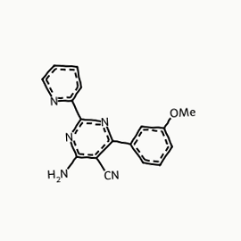 COc1cccc(-c2nc(-c3ccccn3)nc(N)c2C#N)c1